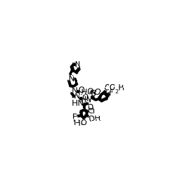 O=C(O)c1c(F)ccc2c1OB(O)[C@@H](NC(=O)C(NC(=O)N1CCN(C3CCN(Cc4ccncc4)CC3)C1=O)c1cc(F)c(O)c(O)c1Cl)C2